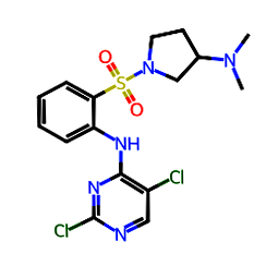 CN(C)C1CCN(S(=O)(=O)c2ccccc2Nc2nc(Cl)ncc2Cl)C1